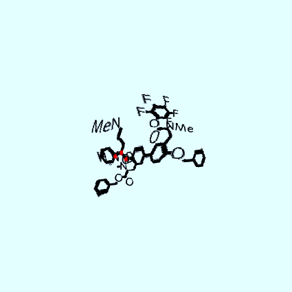 CNCCC[C@H](N)C(=O)N(C)[C@@H](Cc1cc(-c2ccc(OCc3ccccc3)c(C[C@H](NC)C(=O)Oc3c(F)c(F)c(F)c(F)c3F)c2)ccc1OCc1ccccc1)C(=O)OCc1ccccc1